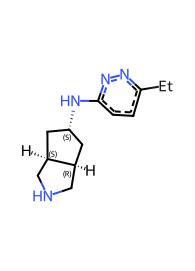 CCc1ccc(N[C@@H]2C[C@H]3CNC[C@H]3C2)nn1